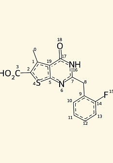 Cc1c(C(=O)O)sc2nc(Cc3ccccc3F)[nH]c(=O)c12